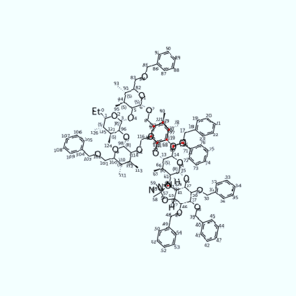 CCC1O[C@H](OC2[C@@H](OCC3O[C@H](O[C@@H]4C(COCc5ccccc5)O[C@H](OC5C(OCc6ccccc6)C(OCc6ccccc6)C(OCc6ccccc6)[C@@H]6OC(C)(C)O[C@@H]56)C(N=[N+]=[N-])[C@H]4C)C(OCc4ccccc4)[C@@H](C)[C@@H]3C)OC(COCc3ccccc3)[C@@H](C)[C@@H]2C)C(O[C@H]2OC(COCc3ccccc3)[C@@H](C)[C@H](C)C2OCc2ccccc2)[C@@H](C)[C@@H]1C